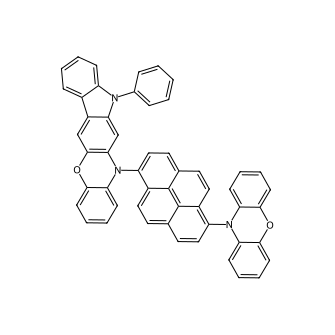 c1ccc(-n2c3ccccc3c3cc4c(cc32)N(c2ccc3ccc5c(N6c7ccccc7Oc7ccccc76)ccc6ccc2c3c65)c2ccccc2O4)cc1